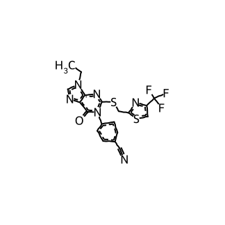 CCn1cnc2c(=O)n(-c3ccc(C#N)cc3)c(SCc3nc(C(F)(F)F)cs3)nc21